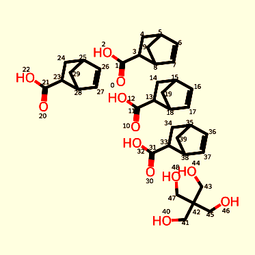 O=C(O)C1CC2C=CC1C2.O=C(O)C1CC2C=CC1C2.O=C(O)C1CC2C=CC1C2.O=C(O)C1CC2C=CC1C2.OCC(CO)(CO)CO